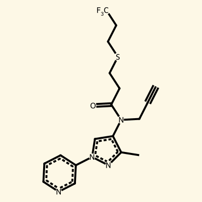 C#CCN(C(=O)CCSCCC(F)(F)F)c1cn(-c2cccnc2)nc1C